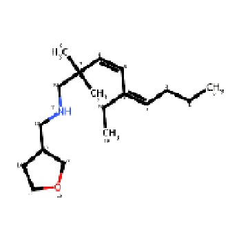 CCC/C=C(\C=C/C(C)(C)CNCC1CCOC1)CC